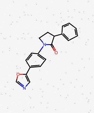 O=C1C(c2ccccc2)CCN1c1ccc(-c2cnco2)cc1